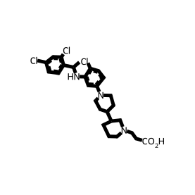 CC(Nc1cc(N2CCC(C3CCCN(CCC(=O)O)C3)CC2)ccc1Cl)c1ccc(Cl)cc1Cl